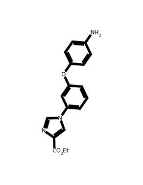 CCOC(=O)c1cn(-c2cccc(Oc3ccc(N)cc3)c2)cn1